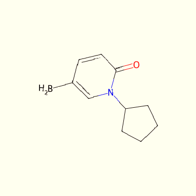 Bc1ccc(=O)n(C2CCCC2)c1